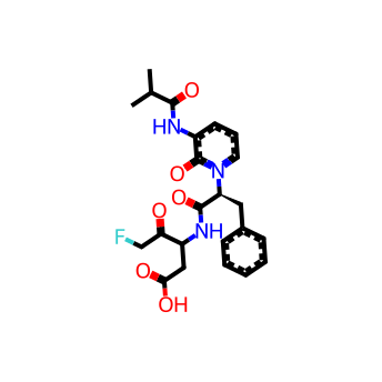 CC(C)C(=O)Nc1cccn([C@@H](Cc2ccccc2)C(=O)NC(CC(=O)O)C(=O)CF)c1=O